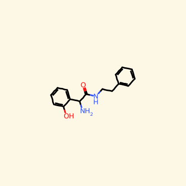 NC(C(=O)NCCc1ccccc1)c1ccccc1O